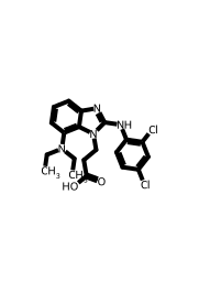 CCN(CC)c1cccc2nc(Nc3ccc(Cl)cc3Cl)n(CCC(=O)O)c12